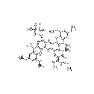 BCc1cc(CB)c(CC(=O)c2cc(C(=O)OCC(F)(F)S(=O)(=O)O)c(C(=O)Oc3c(CB)cc(CB)cc3CB)cc2C(=O)Oc2c(CB)cc(CB)cc2CB)c(CB)c1